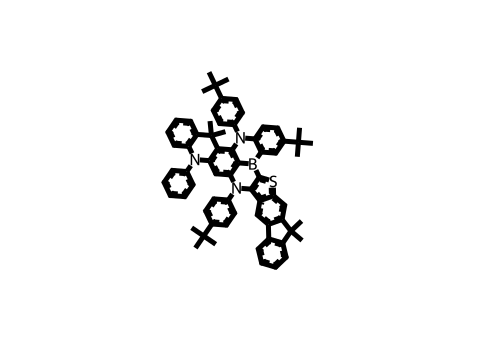 CC(C)(C)c1ccc(N2c3ccc(C(C)(C)C)cc3B3c4sc5cc6c(cc5c4N(c4ccc(C(C)(C)C)cc4)c4cc5c(c2c43)C(C)(C)c2ccccc2N5c2ccccc2)-c2ccccc2C6(C)C)cc1